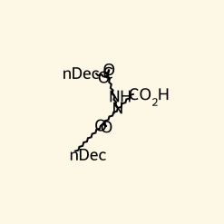 CCCCCCCCCCCCCCCCCCCCCCOC(=O)CCCCCCN(CCCCCCC(=O)O)CCCNCCCCCCC(=C=O)OCCCCCCCCCCCC